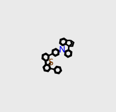 c1ccc(-c2cccc3c2sc2c(-c4ccc(N5c6ccccc6C67CCC(C6)c6cccc5c67)cc4)cccc23)cc1